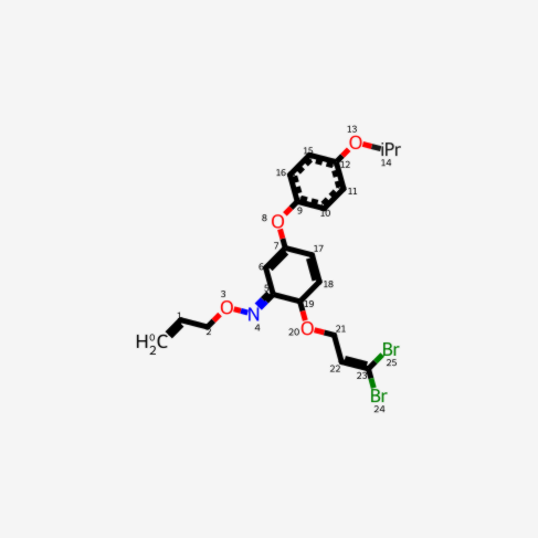 C=CCON=C1C=C(Oc2ccc(OC(C)C)cc2)C=CC1OCC=C(Br)Br